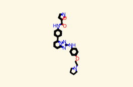 O=C(Nc1ccc(-c2cccc3nc(Nc4ccc(OCCN5CCCC5)cc4)nn23)cc1)c1ccno1